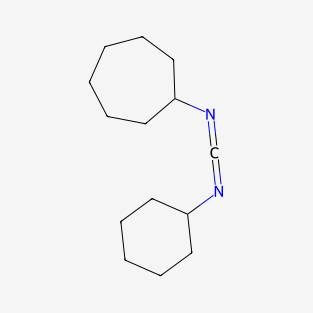 C(=NC1CCCCCC1)=NC1CCCCC1